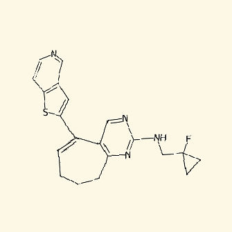 FC1(CNc2ncc3c(n2)CCCC=C3c2cc3cnccc3s2)CC1